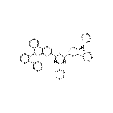 c1ccc(-n2c3ccccc3c3cc(-c4nc(-c5ccc6c7ccccc7c7c8ccccc8c8ccccc8c7c6c5)nc(-c5ccccn5)n4)ccc32)cc1